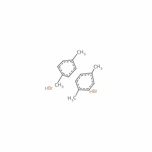 Br.Br.Cc1ccc(C)cc1.Cc1ccc(C)cc1